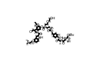 Cc1nc2c3c(cc(OC(=O)N(CCOCCO)CCN(C)C(=O)OCc4ccc(NC(=O)[C@@H](C)NC(=O)[C@H](NC(=O)OC(C)(C)C)C(C)C)cc4)c2o1)N(C(=O)c1cc2cc(OCCN(C)C)ccc2[nH]1)CC3CCl